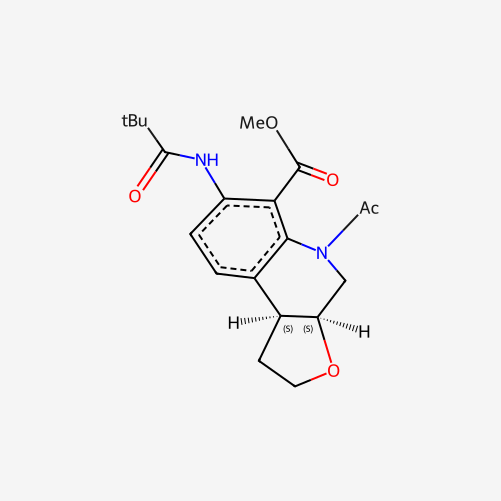 COC(=O)c1c(NC(=O)C(C)(C)C)ccc2c1N(C(C)=O)C[C@H]1OCC[C@@H]21